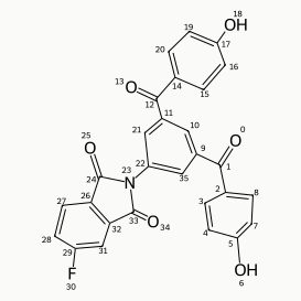 O=C(c1ccc(O)cc1)c1cc(C(=O)c2ccc(O)cc2)cc(N2C(=O)c3ccc(F)cc3C2=O)c1